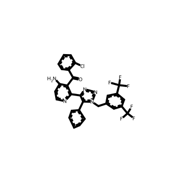 Nc1ccnc(-c2nnn(Cc3cc(C(F)(F)F)cc(C(F)(F)F)c3)c2-c2ccccc2)c1C(=O)c1ccccc1Cl